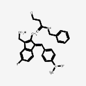 CC1=C(CC(=O)O)c2cc(F)ccc2/C1=C\c1ccc([S+](C)[O-])cc1.O=C(CCCl)NCc1ccccc1